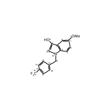 COc1ccc2c(c1)c(O)nn2Cc1ccc(C(F)(F)F)cc1